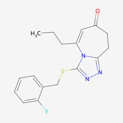 CCCC1=CC(=O)CCc2nnc(SCc3ccccc3F)n21